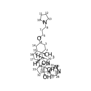 C[C@]12CCC(OCCCN3CCCC3)CC1CC[C@@H]1[C@H]2CC[C@]2(C)C(O)(c3ccnnc3)CC[C@@]12O